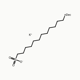 CCCCCCCCCCCCCCCCCCCCCCS(=O)(=O)[O-].[K+]